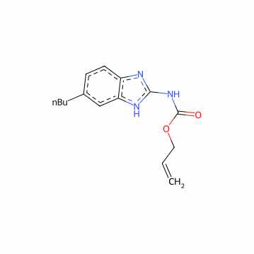 C=CCOC(=O)Nc1nc2ccc(CCCC)cc2[nH]1